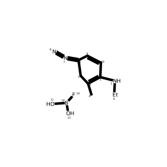 CCNC1=C(C)CC(=[N+]=[N-])C=C1.OB(O)F